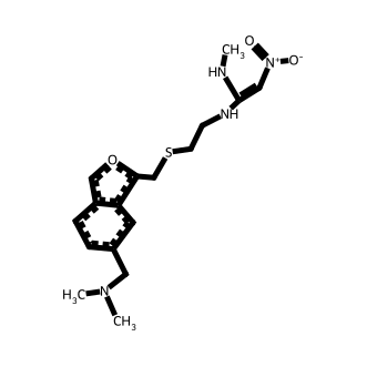 CNC(=C[N+](=O)[O-])NCCSCc1occ2ccc(CN(C)C)cc12